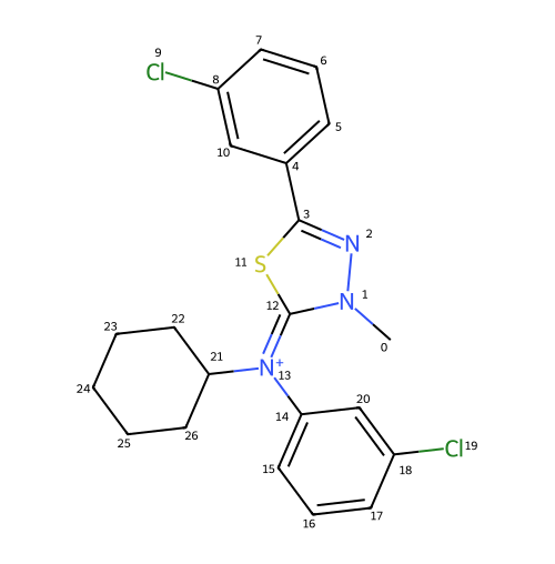 Cn1nc(-c2cccc(Cl)c2)sc1=[N+](c1cccc(Cl)c1)C1CCCCC1